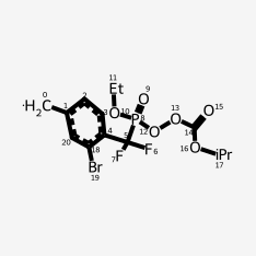 [CH2]c1ccc(C(F)(F)P(=O)(OCC)OOC(=O)OC(C)C)c(Br)c1